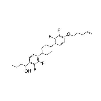 C=CCCCOc1ccc(C2CCC(c3ccc(C(O)CCC)c(F)c3F)CC2)c(F)c1F